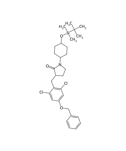 CC(C)(C)[Si](C)(C)OC1CCC(N2CCC(Cc3c(Cl)cc(OCc4ccccc4)cc3Cl)C2=O)CC1